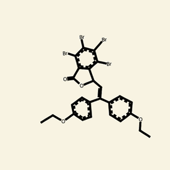 CCOc1ccc(C(=CC2OC(=O)c3c(Br)c(Br)c(Br)c(Br)c32)c2ccc(OCC)cc2)cc1